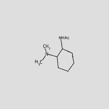 CC(=O)NC1CCCCC1N(C)C